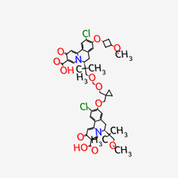 COCC(C)(C)[C@@H]1Cc2cc(OCC3(COCOCC(C)(C)[C@@H]4Cc5cc(O[C@H]6C[C@H](OC)C6)c(Cl)cc5-c5cc(=O)c(C(=O)O)cn54)CC3)c(Cl)cc2-c2cc(=O)c(C(=O)O)cn21